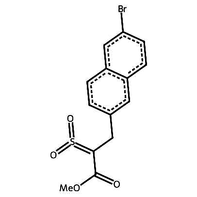 COC(=O)C(Cc1ccc2cc(Br)ccc2c1)=S(=O)=O